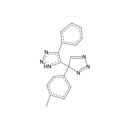 Cc1ccc(C2(c3[nH]nnc3-c3ccccc3)C=NN=N2)cc1